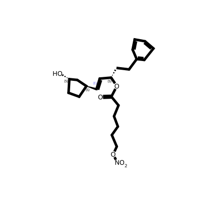 O=C(CCCCCO[N+](=O)[O-])O[C@H](/C=C/[C@H]1CC[C@H](O)C1)CCc1ccccc1